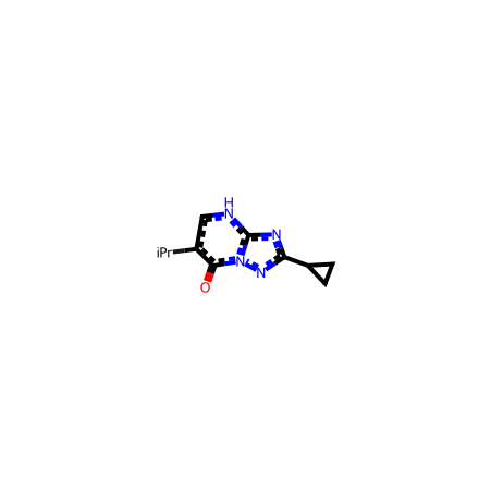 CC(C)c1c[nH]c2nc(C3CC3)nn2c1=O